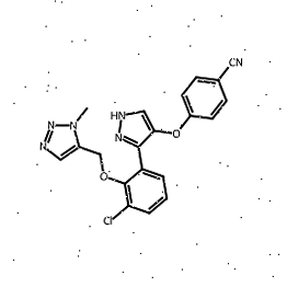 Cn1nncc1COc1c(Cl)cccc1-c1n[nH]cc1Oc1ccc(C#N)cc1